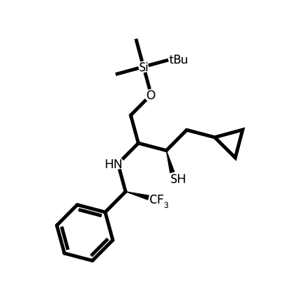 CC(C)(C)[Si](C)(C)OCC(N[C@H](c1ccccc1)C(F)(F)F)[C@H](S)CC1CC1